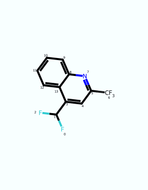 FC(F)c1cc(C(F)(F)F)nc2ccccc12